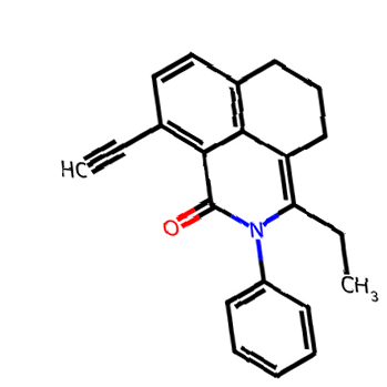 C#Cc1ccc2c3c(c(CC)n(-c4ccccc4)c(=O)c13)CCC2